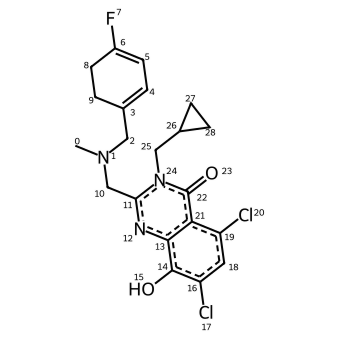 CN(CC1=CC=C(F)CC1)Cc1nc2c(O)c(Cl)cc(Cl)c2c(=O)n1CC1CC1